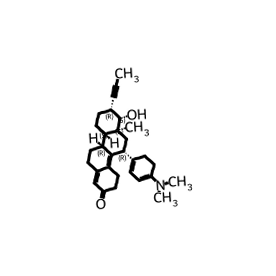 CC#C[C@H]1CC[C@H]2[C@H]3CCC4=CC(=O)CCC4=C3[C@@H](C3=CC=C(N(C)C)CC3)C[C@]2(C)[C@H]1O